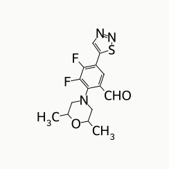 CC1CN(c2c(C=O)cc(-c3cnns3)c(F)c2F)CC(C)O1